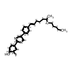 CCCCCOC(C)CCCC=Cc1ccc(-c2cnc(-c3ccc(O)c(F)c3)nc2)cc1